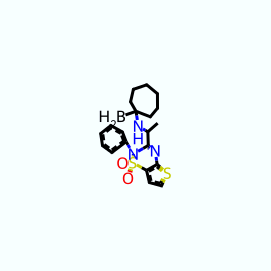 BC1(NC(C)C2=Nc3sccc3S(=O)(=O)N2c2ccccc2)CCCCCC1